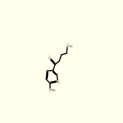 COc1ccc(C(=O)CCCC=O)cn1